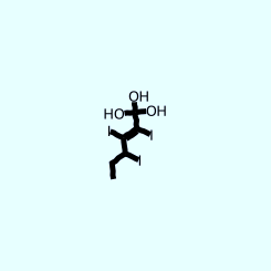 CCC(I)C(I)=C(I)C(O)(O)O